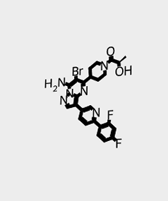 C[C@@H](O)C(=O)N1CCC(c2nc3c(-c4ccc(-c5ccc(F)cc5F)nc4)cnn3c(N)c2Br)CC1